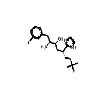 CC(C)(F)CC[C@H](C[C@H](O)[C@@H](N)Cc1cccc(F)c1)c1ncc[nH]1